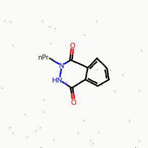 CCCn1[nH]c(=O)c2ccccc2c1=O